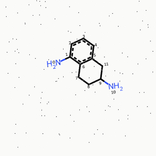 Nc1cccc2c1CCC(N)C2